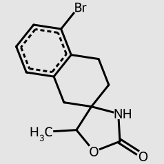 CC1OC(=O)NC12CCc1c(Br)cccc1C2